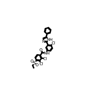 CCS(=O)(=O)c1ccc(C(=O)Nc2ccc(Cl)c(-c3ncc(-c4ccccc4)[nH]3)c2)c(Cl)c1Cl